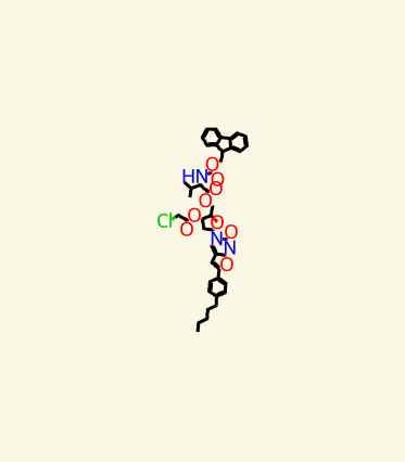 CCCCCc1ccc(-c2cc3cn(C4CC(OC(=O)CCl)C(COC(=O)C(NC(=O)OCC5c6ccccc6-c6ccccc65)C(C)C)O4)c(=O)nc3o2)cc1